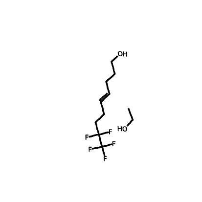 CCO.OCCC/C=C/CCC(F)(F)C(F)(F)F